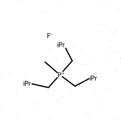 CC(C)C[P+](C)(CC(C)C)CC(C)C.[F-]